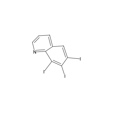 Ic1cc2cccnc2c(I)c1I